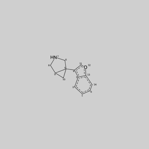 c1ccc2c(C34CNCC3C4)coc2c1